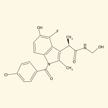 Cc1c([C@@H](C)C(=O)NCO)c2c(F)c(O)ccc2n1C(=O)c1ccc(Cl)cc1